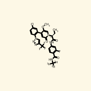 [2H]C([2H])([2H])NC(=O)c1ccc(NC(=O)[C@H](CC)n2cc(OC)c(-c3cc(Cl)ccc3-n3cc(C(F)(F)F)nn3)cc2=O)cc1F